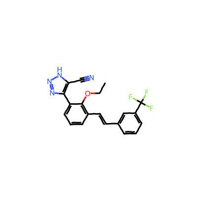 CCOc1c(C=Cc2cccc(C(F)(F)F)c2)cccc1-c1nn[nH]c1C#N